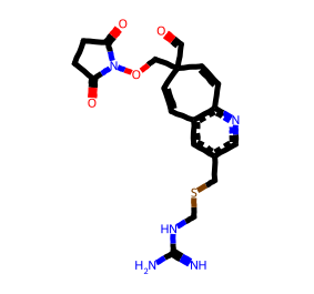 N=C(N)NCSCc1cnc2c(c1)C=CC(C=O)(CON1C(=O)CCC1=O)C=C2